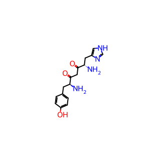 N[C@@H](Cc1ccc(O)cc1)C(=O)CC(=O)[C@@H](N)Cc1c[nH]cn1